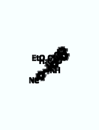 CCOC(=O)CN(c1ccc2[nH]c(CCc3ccc(C#N)cc3)nc2c1C)S(=O)(=O)c1cccc2cccnc12